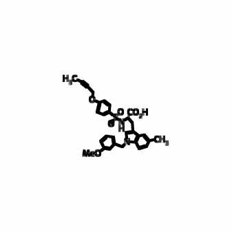 CC#CCOc1ccc(S(=O)(=O)N[C@@H](Cc2cn(Cc3cccc(OC)c3)c3ccc(C)cc23)C(=O)O)cc1